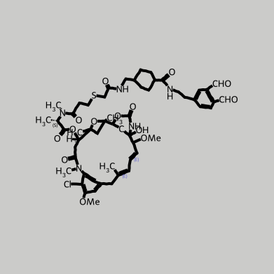 COc1cc2cc(c1Cl)N(C)C(=O)C[C@H](OC(=O)[C@H](C)N(C)C(=O)CCSCC(=O)NCC1CCC(C(=O)NCCc3ccc(C=O)c(C=O)c3)CC1)C1(C)CC(C)(O1)C1CC(O)(NC(=O)O1)C(OC)/C=C/C=C(\C)C2